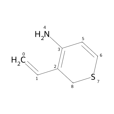 C=CC1=C(N)C=CSC1